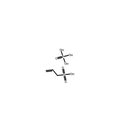 C=CCS(=O)(=O)O.O=P(O)(O)O